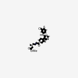 COC(=O)CN(C)C/C=C/C(=O)N1CCc2c(sc3ncnc(Nc4ccc(F)c(Cl)c4)c23)C1